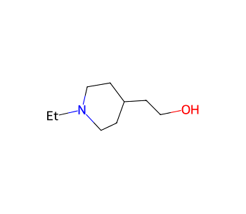 [CH2]CN1CCC(CCO)CC1